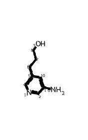 Nc1cncc(CCCO)c1